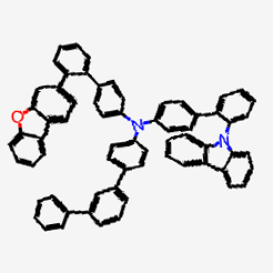 c1ccc(-c2cccc(-c3ccc(N(c4ccc(-c5ccccc5-c5ccc6c(c5)oc5ccccc56)cc4)c4ccc(-c5ccccc5-n5c6ccccc6c6ccccc65)cc4)cc3)c2)cc1